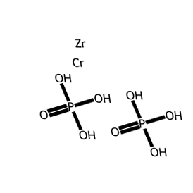 O=P(O)(O)O.O=P(O)(O)O.[Cr].[Zr]